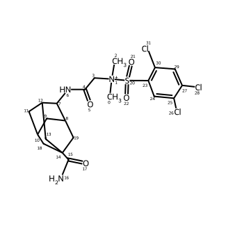 C[N+](C)(CC(=O)NC1C2CC3CC1CC(C(N)=O)(C3)C2)S(=O)(=O)c1cc(Cl)c(Cl)cc1Cl